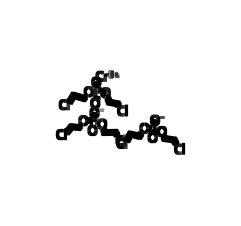 O=P([O-])(OCCCl)OCCCl.O=P([O-])(OCCCl)OCCCl.O=P([O-])(OCCCl)OCCCl.[Cr+3]